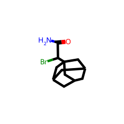 NC(=O)C(Br)C12CC3CC(CC(C3)C1)C2